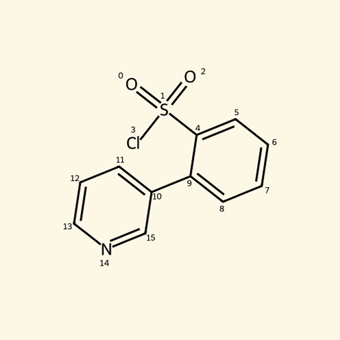 O=S(=O)(Cl)c1ccccc1-c1cccnc1